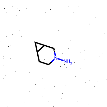 NN1CCC2CC2C1